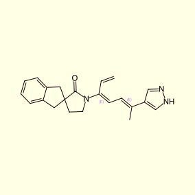 C=C/C(=C\C=C(/C)c1cn[nH]c1)N1CCC2(Cc3ccccc3C2)C1=O